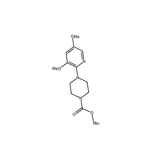 COc1cnc(N2CCN(C(=O)OC(C)(C)C)CC2)c(OC)c1